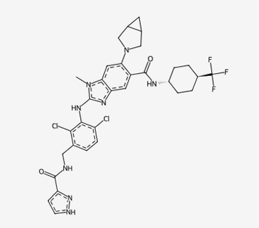 Cn1c(Nc2c(Cl)ccc(CNC(=O)c3cc[nH]n3)c2Cl)nc2cc(C(=O)N[C@H]3CC[C@H](C(F)(F)F)CC3)c(N3CC4CC4C3)cc21